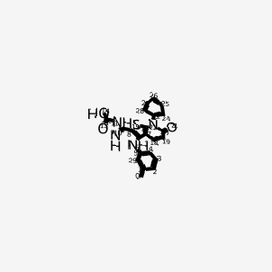 Cc1cccc(Nc2c(C(=N)NC(=O)O)sc3c2ccc(=O)n3-c2ccccc2)c1